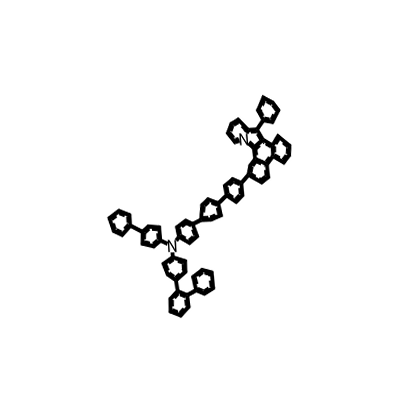 c1ccc(-c2ccc(N(c3ccc(-c4ccc(-c5ccc(-c6ccc7c8ccccc8c8c(-c9ccccc9)c9ccccn9c8c7c6)cc5)cc4)cc3)c3ccc(-c4ccccc4-c4ccccc4)cc3)cc2)cc1